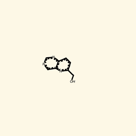 OCc1ccc2ncncc2n1